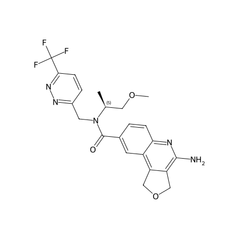 COC[C@H](C)N(Cc1ccc(C(F)(F)F)nn1)C(=O)c1ccc2nc(N)c3c(c2c1)COC3